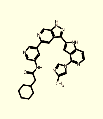 Cc1cn(-c2nccc3[nH]c(-c4n[nH]c5cnc(-c6cncc(NC(=O)CC7CCCCC7)c6)cc45)cc23)cn1